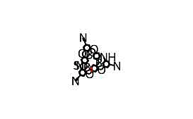 CSN1c2cc3c(cc2B2c4ccccc4Oc4cc(C#N)cc1c42)B1c2cc4c(cc2Oc2cc(C#N)cc(c21)O3)Nc1cc(C#N)cc2c1B4c1ccccc1O2